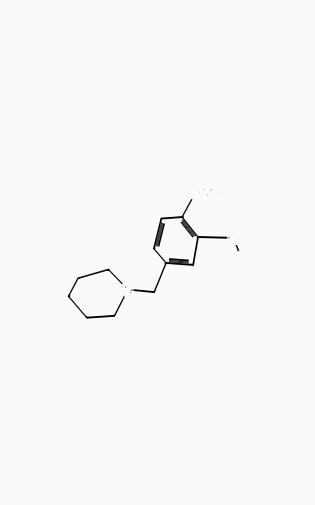 CCOc1cc(CN2CC[CH]CC2)ccc1OC